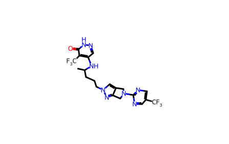 CC(CCCn1cc2c(n1)CN(c1ncc(C(F)(F)F)cn1)C2)Nc1cn[nH]c(=O)c1C(F)(F)F